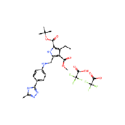 CCc1c(C(=O)OC(C)(C)C)[nH]c(CNc2ccc(C3=NN=C(C)[N+]3)cc2)c1C(=O)OC.O=C(O)C(F)(F)F.O=C([O-])C(F)(F)F